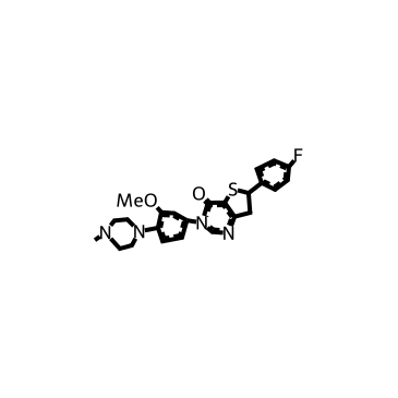 COc1cc(-n2cnc3c(c2=O)SC(c2ccc(F)cc2)C3)ccc1N1CCN(C)CC1